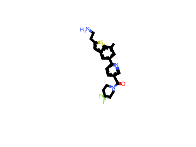 Cc1cc(-c2ccc(C(=O)N3CCC(F)(F)CC3)cn2)cc2cc(CCN)sc12